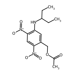 CCC(CC)Nc1cc(COC(C)=O)c([N+](=O)[O-])cc1[N+](=O)[O-]